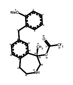 COc1ccccc1Cc1ccc2c(c1)[C@](C)(OC(=O)C(F)(F)F)CNCC2